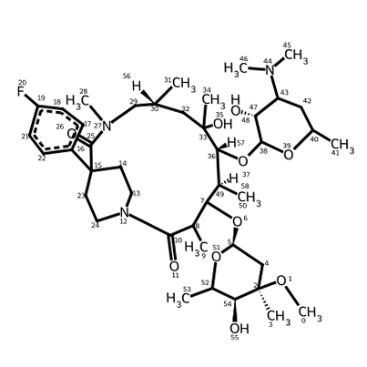 CO[C@]1(C)C[C@H](OC2C(C)C(=O)N3CCC(c4ccc(F)cc4)(CC3)C(=O)N(C)C[C@H](C)CC(C)(O)[C@H](OC3OC(C)CC(N(C)C)[C@H]3O)[C@H]2C)OC(C)[C@@H]1O